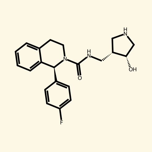 O=C(NC[C@@H]1CNC[C@@H]1O)N1CCc2ccccc2[C@@H]1c1ccc(F)cc1